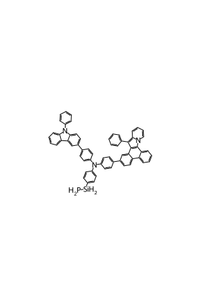 P[SiH2]c1ccc(N(c2ccc(-c3ccc4c5ccccc5c5c(c(-c6ccccc6)c6ccccn65)c4c3)cc2)c2ccc(-c3ccc4c(c3)c3ccccc3n4-c3ccccc3)cc2)cc1